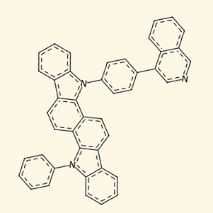 c1ccc(-n2c3ccccc3c3ccc4c(ccc5c6ccccc6n(-c6ccc(-c7cncc8ccccc78)cc6)c54)c32)cc1